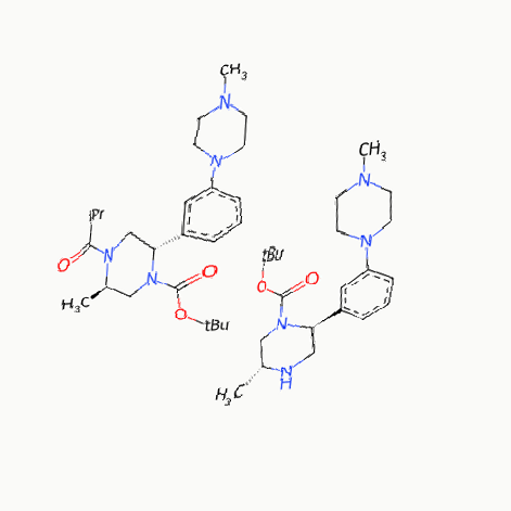 CC(C)C(=O)N1C[C@H](c2cccc(N3CCN(C)CC3)c2)N(C(=O)OC(C)(C)C)C[C@H]1C.C[C@@H]1CN(C(=O)OC(C)(C)C)[C@@H](c2cccc(N3CCN(C)CC3)c2)CN1